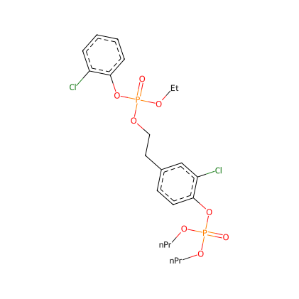 CCCOP(=O)(OCCC)Oc1ccc(CCOP(=O)(OCC)Oc2ccccc2Cl)cc1Cl